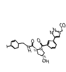 CCOC(=O)Cn1cc(-c2cccc(C(=O)N3C[C@H](O)C[C@H]3C(=O)NCC3C=CC(Cl)=CC3)c2)nn1